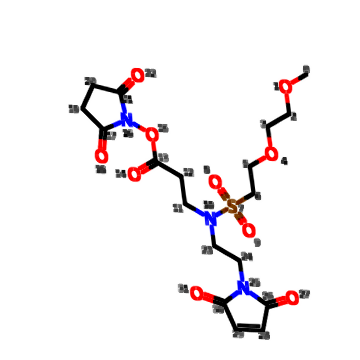 COCCOCCS(=O)(=O)N(CCC(=O)ON1C(=O)CCC1=O)CCN1C(=O)C=CC1=O